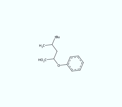 CC(CC(Oc1ccccc1)C(=O)O)C(C)(C)C